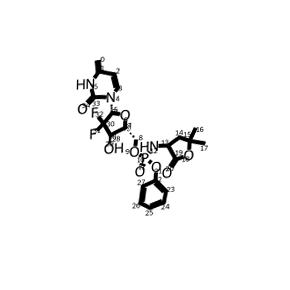 C=C1C=CN([C@@H]2O[C@H](COP(=O)(NC3CC(C)(C)OC3=O)Oc3ccccc3)[C@@H](O)C2(F)F)C(=O)N1